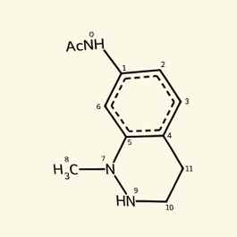 CC(=O)Nc1ccc2c(c1)N(C)NCC2